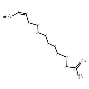 CCCCCC/C=C\CCCCCCCCCC(N)=O